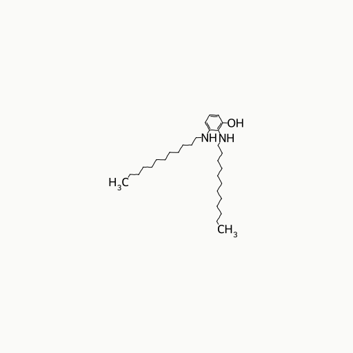 CCCCCCCCCCCCNc1cccc(O)c1NCCCCCCCCCCCC